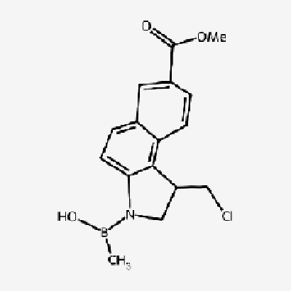 COC(=O)c1ccc2c3c(ccc2c1)N(B(C)O)CC3CCl